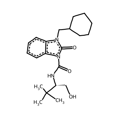 CC(C)(C)[C@@H](CO)NC(=O)n1c(=O)n(CC2CCCCC2)c2ccccc21